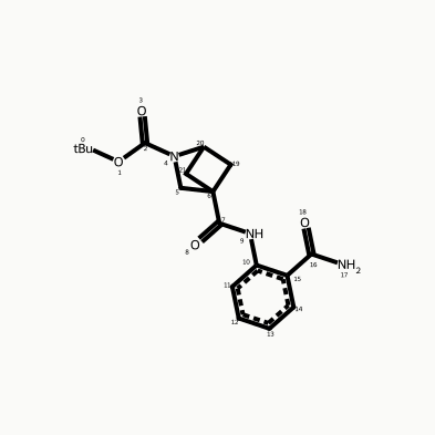 CC(C)(C)OC(=O)N1CC2(C(=O)Nc3ccccc3C(N)=O)CC1C2